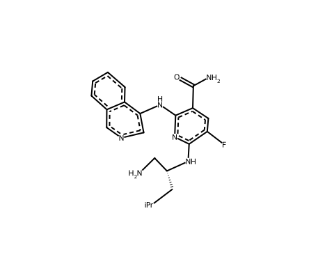 CC(C)C[C@H](CN)Nc1nc(Nc2cncc3ccccc23)c(C(N)=O)cc1F